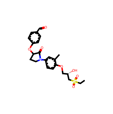 CCS(=O)(=O)C[C@@H](O)COc1ccc(N2CCC(Oc3ccc(C=O)cc3)C2=O)cc1C